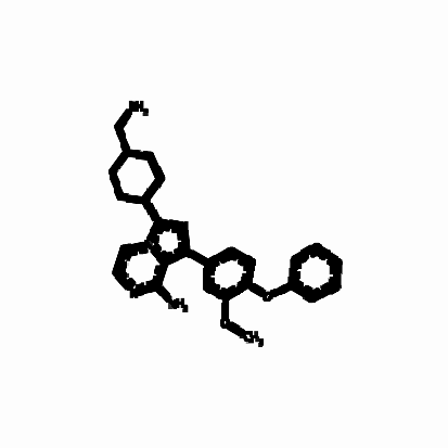 COc1cc(-c2nc(C3CCC(CN)CC3)n3ccnc(N)c23)ccc1Oc1ccccc1